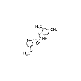 COc1ccnc(C[S+]([O-])c2nc3c(C)cc(C)cc3[nH]2)c1